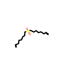 C=CCCCCCCS(=O)(=O)CCCCCCC=C